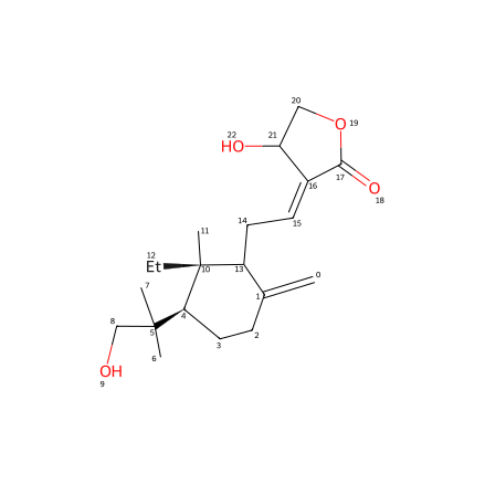 C=C1CC[C@@H](C(C)(C)CO)[C@@](C)(CC)C1C/C=C1/C(=O)OCC1O